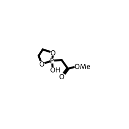 COC(=O)C[P]1(O)OCCO1